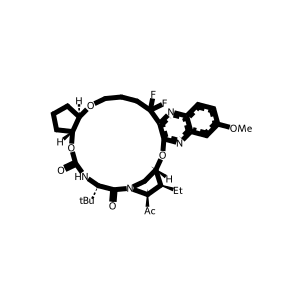 CC[C@@H]1[C@@H]2CN(C(=O)[C@H](C(C)(C)C)NC(=O)O[C@@H]3CCC[C@H]3OCCCC(F)(F)c3nc4ccc(OC)cc4nc3O2)[C@@H]1C(C)=O